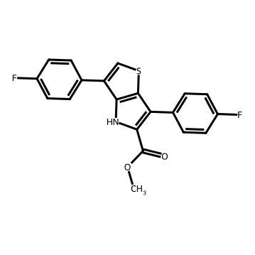 COC(=O)c1[nH]c2c(-c3ccc(F)cc3)csc2c1-c1ccc(F)cc1